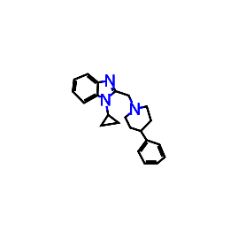 c1ccc(C2CCN(Cc3nc4ccccc4n3C3CC3)CC2)cc1